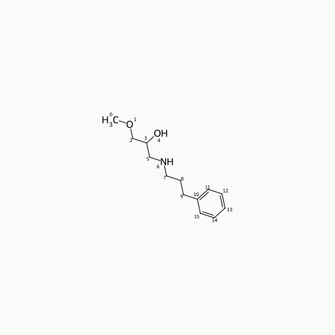 COCC(O)CNCCCc1ccccc1